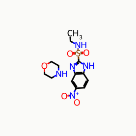 C1COCCN1.CCNS(=O)(=O)c1nc2cc([N+](=O)[O-])ccc2[nH]1